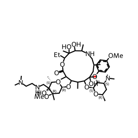 CCC1OC(=O)C(C)C(O[C@H]2C[C@@](C)(OC)[C@](O)(CNCCN(C)C)[C@H](C)O2)C(C)C(O[C@@H]2O[C@H](C)C[C@H](N(C)C)[C@H]2Oc2ccc(OC)cc2)C(C)(O)CC(C)CNC(C)C(O)C1(C)O